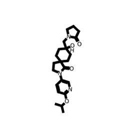 CC(C)Oc1ccc(N2CCC3(CCC(O)(CN4CCCC4=O)CC3)C2=O)cn1